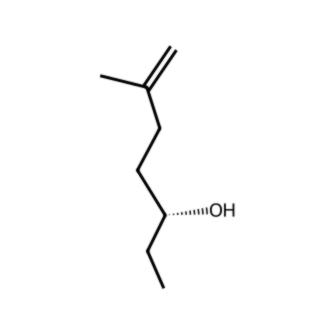 C=C(C)CC[C@H](O)CC